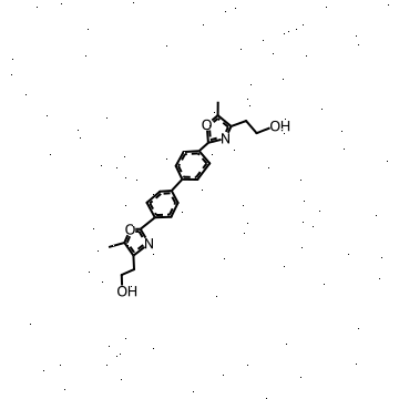 Cc1oc(-c2ccc(-c3ccc(-c4nc(CCO)c(C)o4)cc3)cc2)nc1CCO